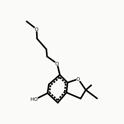 COCCCOc1cc(O)cc2c1OC(C)(C)C2